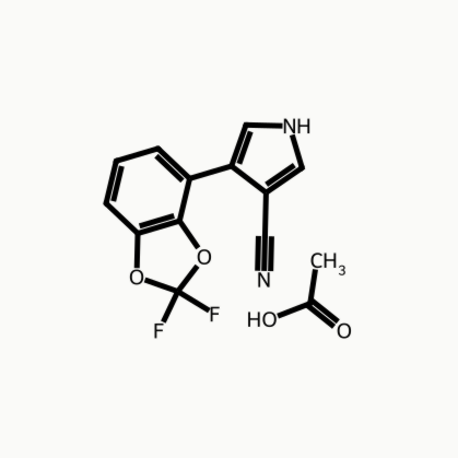 CC(=O)O.N#Cc1c[nH]cc1-c1cccc2c1OC(F)(F)O2